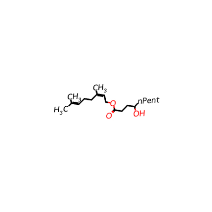 CCCCCC(O)CCC(=O)OCC=C(C)CCC=C(C)C